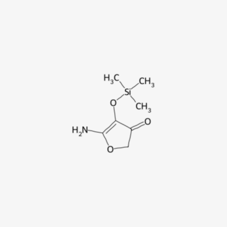 C[Si](C)(C)OC1=C(N)OCC1=O